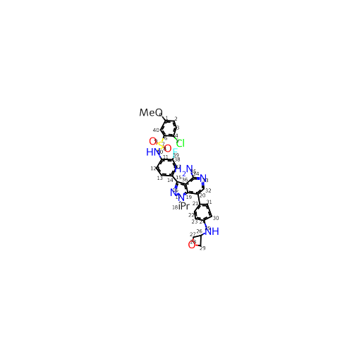 COc1ccc(Cl)c(S(=O)(=O)Nc2ccc(-c3nn(C(C)C)c4c(-c5ccc(NC6COC6)cc5)cnc(N)c34)cc2F)c1